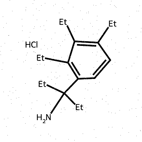 CCc1ccc(C(N)(CC)CC)c(CC)c1CC.Cl